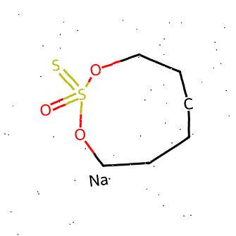 O=S1(=S)OCCCCCCO1.[Na]